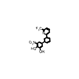 O=[N+]([O-])c1cc(-c2cccc(-c3cccc(C(F)(F)F)n3)c2)cc(O)c1O